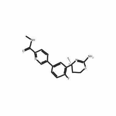 CNC(=O)c1ccc(-c2ccc(F)c([C@]3(C)CCSC(N)=N3)c2)cn1